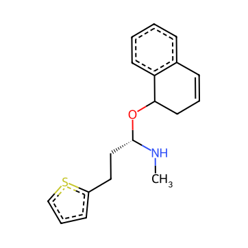 CN[C@H](CCc1cccs1)OC1CC=Cc2ccccc21